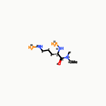 CON(C)C(=O)[C@H](CCCNP)NP